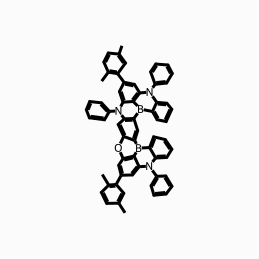 Cc1ccc(C)c(-c2cc3c4c(c2)N(c2ccccc2)c2ccccc2B4c2cc4c(cc2O3)N(c2ccccc2)c2cc(-c3cc(C)ccc3C)cc3c2B4c2ccccc2N3c2ccccc2)c1